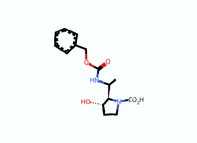 CC(NC(=O)OCc1ccccc1)[C@@H]1[C@@H](O)CCN1C(=O)O